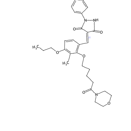 CCCOc1ccc(/C=C2/C(=O)NN(c3ccccc3)C2=O)c(OCCCCC(=O)N2CCOCC2)c1C